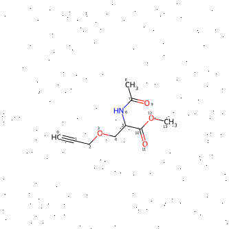 C#CCOCC(NC(C)=O)C(=O)OC